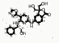 O=C1OC(CO)(CO)c2cc(Nc3ncc(-c4nnco4)c(N[C@H](CO)c4ccccc4)n3)ccc21